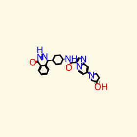 O=C(N[C@H]1CC[C@H](c2n[nH]c(=O)c3ccccc32)CC1)c1cnc2cc(N3CC[C@@H](O)C3)ccn12